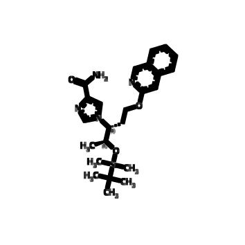 C[C@H](O[Si](C)(C)C(C)(C)C)[C@@H](CCOc1cc2ccccc2cn1)n1cnc(C(N)=O)c1